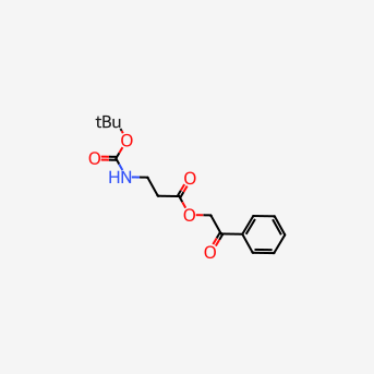 CC(C)(C)OC(=O)NCCC(=O)OCC(=O)c1ccccc1